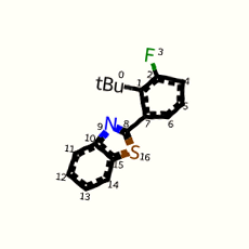 CC(C)(C)c1c(F)cccc1-c1nc2ccccc2s1